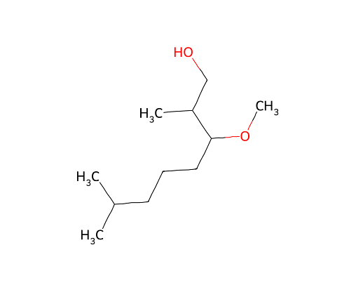 COC(CCCC(C)C)C(C)CO